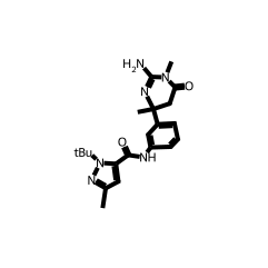 Cc1cc(C(=O)Nc2cccc(C3(C)CC(=O)N(C)C(N)=N3)c2)n(C(C)(C)C)n1